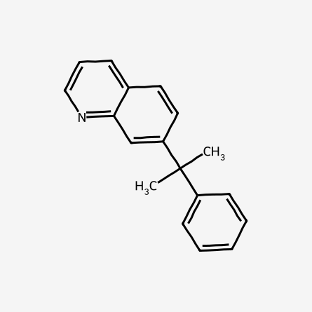 CC(C)(c1ccccc1)c1ccc2cccnc2c1